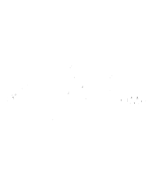 COc1ccc(-c2ccc3c4c(cccc24)C(=O)C=C3)cc1